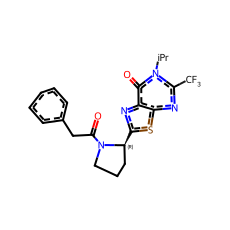 CC(C)n1c(C(F)(F)F)nc2sc([C@H]3CCCN3C(=O)Cc3ccccc3)nc2c1=O